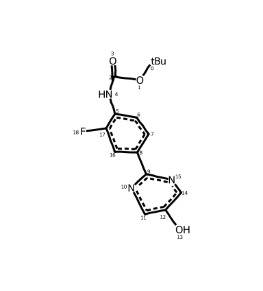 CC(C)(C)OC(=O)Nc1ccc(-c2ncc(O)cn2)cc1F